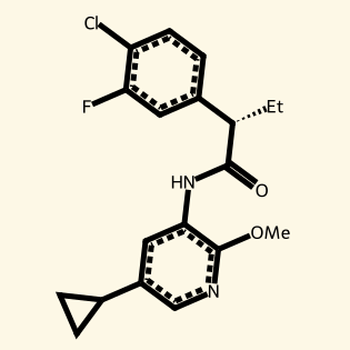 CC[C@H](C(=O)Nc1cc(C2CC2)cnc1OC)c1ccc(Cl)c(F)c1